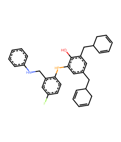 Oc1c(CC2C=CC=CC2)cc(CC2C=CC=CC2)cc1Pc1ccc(F)cc1CNc1ccccc1